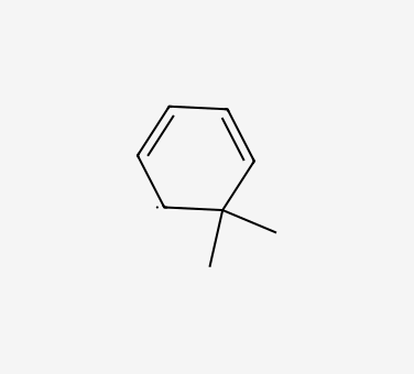 CC1(C)[CH]C=CC=C1